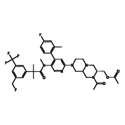 CC(=O)OC[C@H]1CN2CCN(c3cc(-c4ccc(F)cc4C)c(N(C)C(=O)C(C)(C)c4cc(CF)cc(C(F)(F)F)c4)cn3)CC2CN1C(C)=O